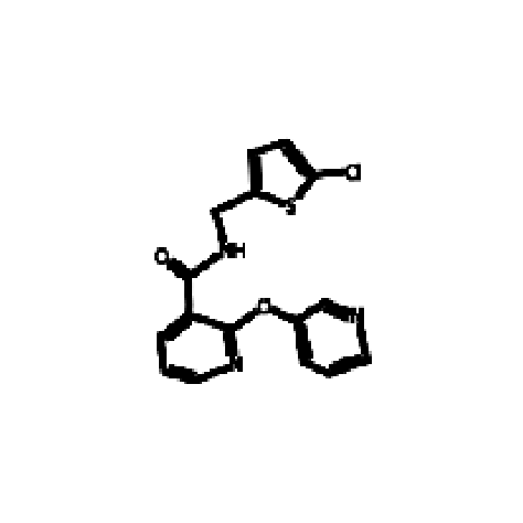 O=C(NCc1ccc(Cl)s1)c1cccnc1Oc1cccnc1